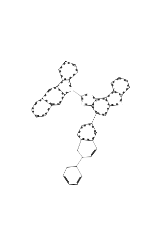 C1=CCC(C2C=Cc3cc(-c4cc5oc6ccccc6c5c5oc(-n6c7ccccc7c7cc8ccccc8cc76)nc45)ccc3C2)C=C1